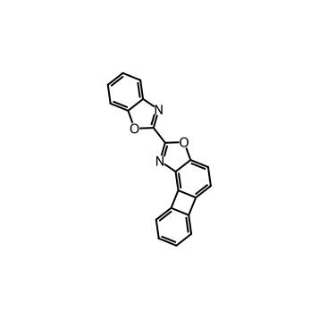 c1ccc2c(c1)-c1ccc3oc(-c4nc5ccccc5o4)nc3c1-2